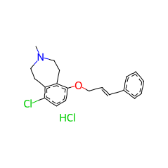 CN1CCc2c(Cl)ccc(OCC=Cc3ccccc3)c2CC1.Cl